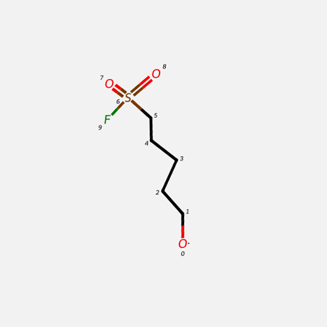 [O]CCCCCS(=O)(=O)F